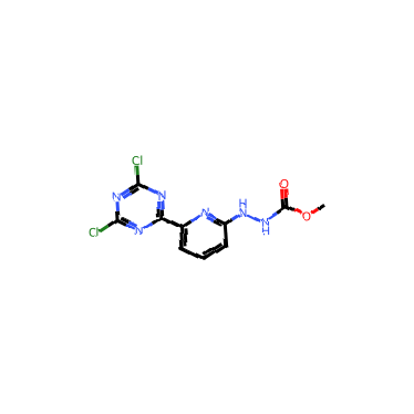 COC(=O)NNc1cccc(-c2nc(Cl)nc(Cl)n2)n1